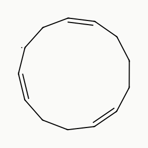 [CH]1C=CCCC=CCCCC=CC1